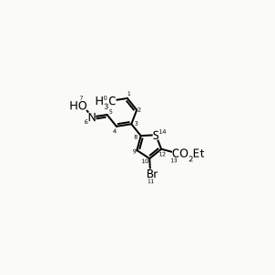 C\C=C/C(=C\C=N\O)c1cc(Br)c(C(=O)OCC)s1